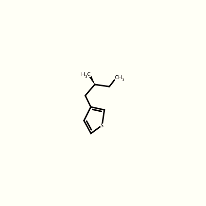 CC[C@H](C)Cc1ccsc1